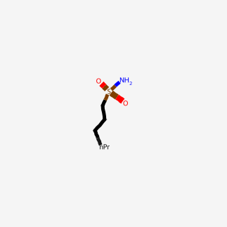 CCCC[CH]CS(N)(=O)=O